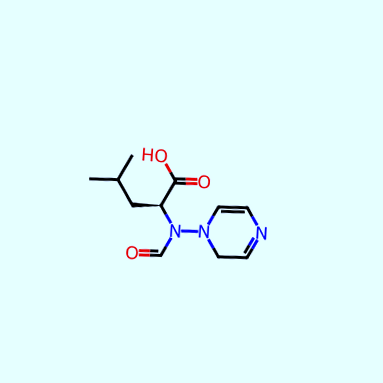 CC(C)C[C@@H](C(=O)O)N(C=O)N1C=CN=CC1